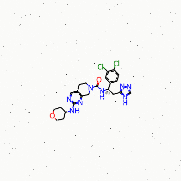 O=C(N[C@H](Cc1nnc[nH]1)c1ccc(Cl)c(Cl)c1)N1CCc2cnc(NC3CCOCC3)nc2C1